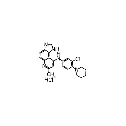 Cc1cc(Nc2ccc(N3CCCCC3)c(Cl)c2)c2c(ccc3nc[nH]c32)n1.Cl